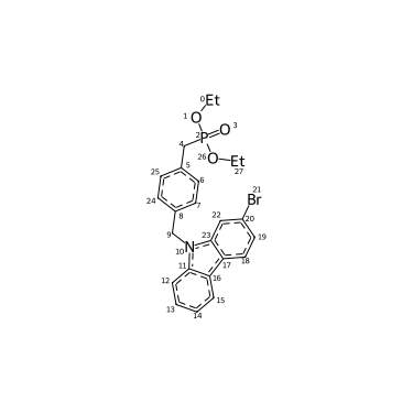 CCOP(=O)(Cc1ccc(Cn2c3ccccc3c3ccc(Br)cc32)cc1)OCC